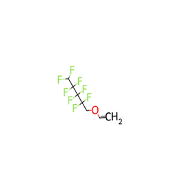 C=COCC(F)(F)C(F)(F)C(F)(F)C(F)F